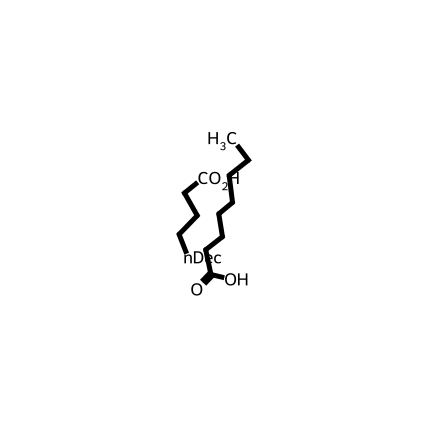 CCCCCCCC(=O)O.CCCCCCCCCCCCCC(=O)O